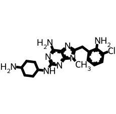 Cn1c(Cc2cccc(Cl)c2N)nc2c(N)nc(NC3CCC(N)CC3)nc21